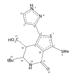 CSc1sc(-c2cc[nH]n2)c2c1C(=O)NC(C(C)(C)C)C2C(=O)O